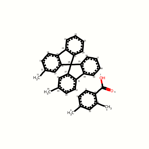 Cc1ccc(C(=O)O)c(C)c1.Cc1ccc2c(c1)C1(c3ccccc3-2)c2ccccc2-c2ccc(C)cc21